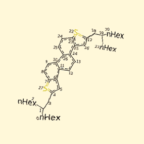 CCCCCCC(CCCCCC)Cc1cc2c(ccc3c2ccc2c4cc(CC(CCCCCC)CCCCCC)sc4ccc23)s1